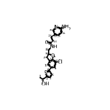 CC(O)c1ccc(-c2cc(Cl)c3c(c2)CC(CNC(=O)C=Cc2ccc(N)nc2)O3)s1